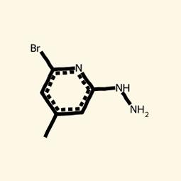 Cc1cc(Br)nc(NN)c1